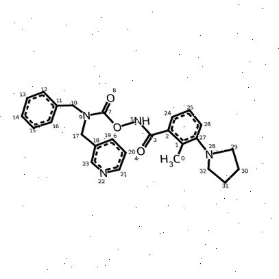 Cc1c(C(=O)NOC(=O)N(Cc2ccccc2)Cc2cccnc2)cccc1N1CCCC1